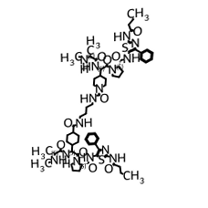 CCCC(=O)Nc1nc(-c2ccccc2)c(NC(=O)[C@@H]2CCCN2C(=O)[C@@H](NC(=O)[C@H](C)NC)C2CCC(C(=O)NCCCCNC(=O)N3CCC([C@H](NC(=O)[C@H](C)NC)C(=O)N4CCC[C@H]4C(=O)Nc4sc(NC(=O)CCC)nc4-c4ccccc4)CC3)CC2)s1